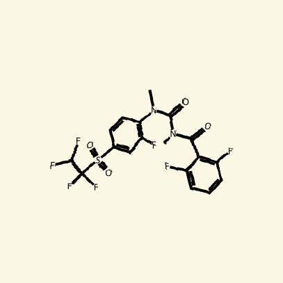 CN(C(=O)c1c(F)cccc1F)C(=O)N(C)c1ccc(S(=O)(=O)C(F)(F)C(F)F)cc1F